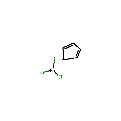 [CH]1C=CC=C1.[Cl][Rh]([Cl])[Cl]